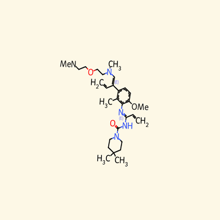 C=C/C(=C\N(C)CCOCCNC)c1ccc(OC)c(/N=C(\C=C)NC(=O)N2CCC(C)(C)CC2)c1C